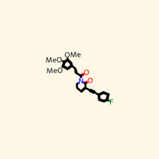 COc1cc(/C=C/C(=O)N2CCC=C(C#Cc3ccc(F)cc3)C2=O)cc(OC)c1OC